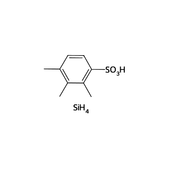 Cc1ccc(S(=O)(=O)O)c(C)c1C.[SiH4]